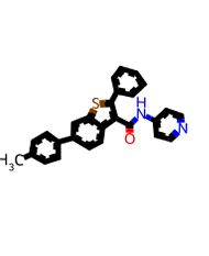 Cc1ccc(-c2ccc3c(C(=O)Nc4ccncc4)c(-c4ccccc4)sc3c2)cc1